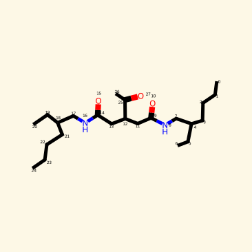 CCCCC(CC)CNC(=O)CC(CC(=O)NCC(CC)CCCC)C(C)=O